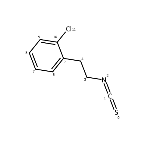 S=C=NCCc1ccccc1Cl